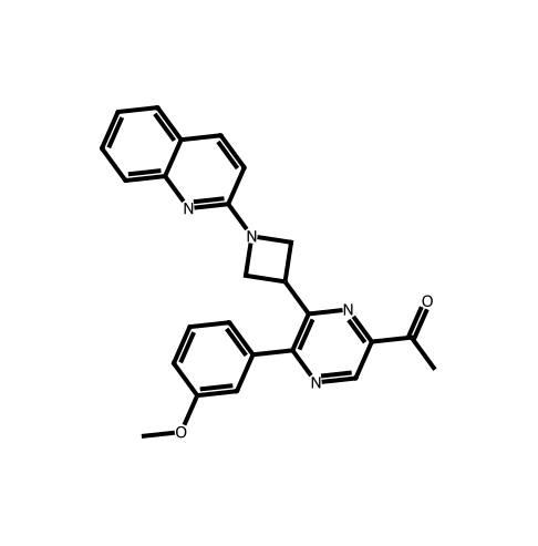 COc1cccc(-c2ncc(C(C)=O)nc2C2CN(c3ccc4ccccc4n3)C2)c1